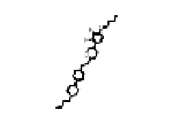 C=CCCC1CCC(C2CCC(CCC3CCC(c4ccc(OCCCC)c(F)c4F)CO3)CC2)CC1